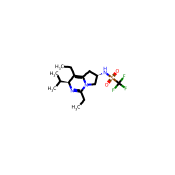 CCC1=N[C@@H](C(C)C)C(CC)=C2C[C@H](NS(=O)(=O)C(F)(F)F)CN12